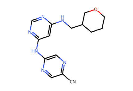 N#Cc1cnc(Nc2cc(NCC3CCCOC3)ncn2)cn1